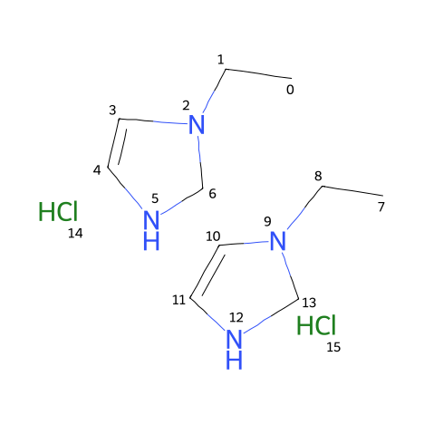 CCN1C=CNC1.CCN1C=CNC1.Cl.Cl